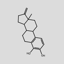 C=C1CCC2C3CCc4c(ccc(O)c4O)C3CCC12C